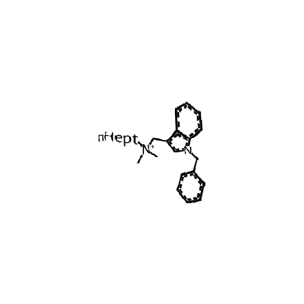 CCCCCCC[N+](C)(C)Cc1cn(Cc2ccccc2)c2ccccc12